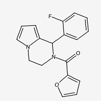 O=C(c1ccco1)N1CCn2cccc2C1c1ccccc1F